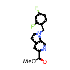 COC(=O)c1cc2ccn(Cc3ccc(F)cc3F)c2cn1